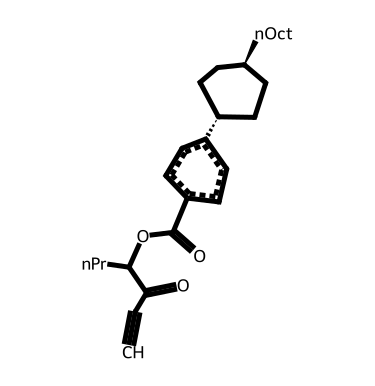 C#CC(=O)C(CCC)OC(=O)c1ccc([C@H]2CC[C@H](CCCCCCCC)CC2)cc1